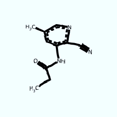 CCC(=O)Nc1cc(C)cnc1C#N